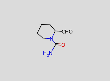 NC(=O)N1CC[CH]CC1C=O